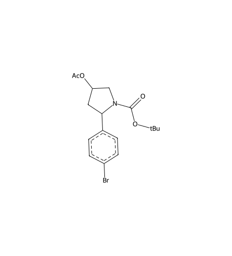 CC(=O)OC1CC(c2ccc(Br)cc2)N(C(=O)OC(C)(C)C)C1